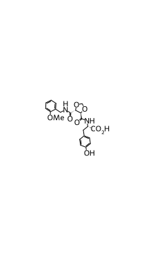 COc1ccccc1CNC(=O)[C@@H]1OCO[C@H]1C(=O)N[C@@H](Cc1ccc(O)cc1)C(=O)O